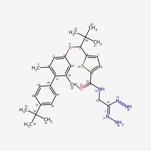 Cc1cc(SC(c2ccc(C(=O)NC/C(N=N)=N/N)s2)C(C)(C)C)cc(C)c1-c1ccc(C(C)(C)C)cc1